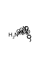 CCc1ccc(COc2cccnc2OC(=O)NC(=O)CN)cc1